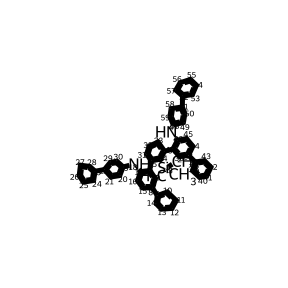 C[Si](C)(C)c1c(-c2cc(-c3ccccc3)ccc2Nc2ccc(-c3ccccc3)cc2)cccc1-c1cc(-c2ccccc2)ccc1Nc1ccc(-c2ccccc2)cc1